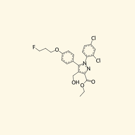 CCOC(=O)c1nn(-c2ccc(Cl)cc2Cl)c(-c2ccc(OCCCF)cc2)c1CO